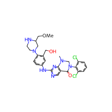 COCC1CN(c2ccc(Nc3ncc4c(n3)N(C)CN(c3c(Cl)cccc3Cl)C4=O)cc2CO)CCN1